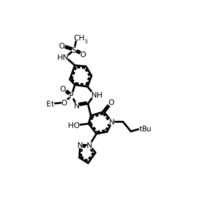 CCOP1(=O)N=C(c2c(O)c(-n3cccn3)cn(CCC(C)(C)C)c2=O)Nc2ccc(NS(C)(=O)=O)cc21